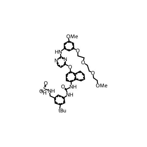 COCCOCCOCCOc1cc(Nc2nccc(Oc3ccc(NC(=O)Nc4cc(CN[SH](=O)=O)cc(C(C)(C)C)c4)c4ccccc34)n2)cc(OC)c1